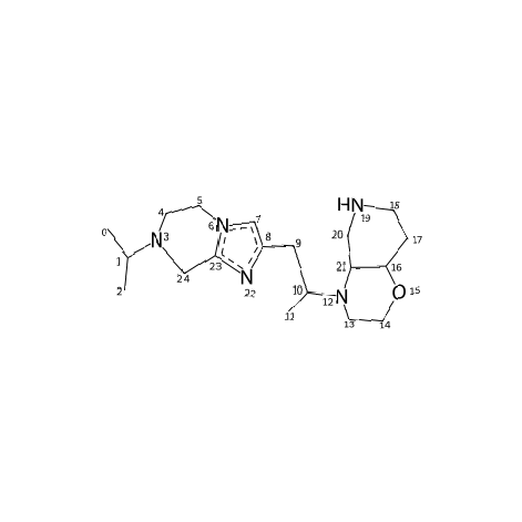 CC(C)N1CCn2cc(CC(C)N3CCOC4CCNCC43)nc2C1